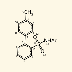 [CH2]c1ccc(-c2ccccc2S(=O)(=O)NC(C)=O)cc1